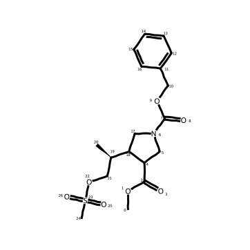 COC(=O)C1CN(C(=O)OCc2ccccc2)CC1[C@H](C)COS(C)(=O)=O